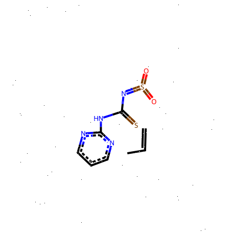 C=CC.O=S(=O)=NC(=S)Nc1ncccn1